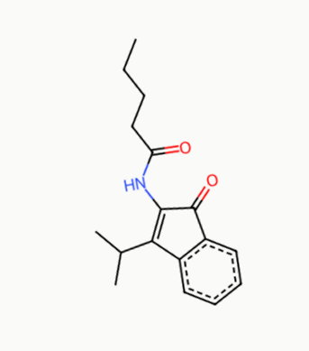 CCCCC(=O)NC1=C(C(C)C)c2ccccc2C1=O